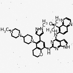 CN1CCN(C2CCN(c3c(-c4cnn(C)c4)cc(Nc4nc(Nc5ccc6nccnc6c5P(C)(C)=O)c5cc[nH]c5n4)c4c3CCCO4)CC2)CC1